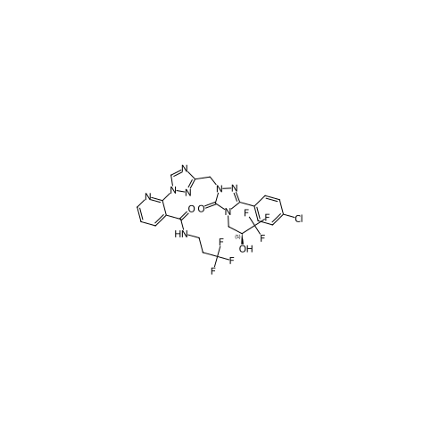 O=C(NCCC(F)(F)F)c1cccnc1-n1cnc(Cn2nc(-c3ccc(Cl)cc3)n(C[C@H](O)C(F)(F)F)c2=O)n1